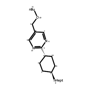 CCCCCCC[C@H]1CC[C@H](c2ncc(COCCCC)cn2)CC1